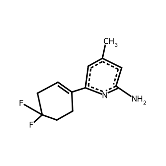 Cc1cc(N)nc(C2=CCC(F)(F)CC2)c1